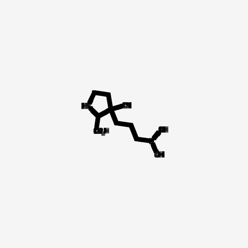 N#CC1(CCCB(O)O)CCNC1C(=O)O